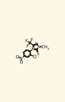 Cn1nc(C(F)(F)F)n(-c2ccc([N+](=O)[O-])cc2Cl)c1=S